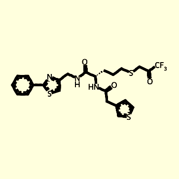 O=C(Cc1ccsc1)N[C@@H](CCCSCC(=O)C(F)(F)F)C(=O)NCc1csc(-c2ccccc2)n1